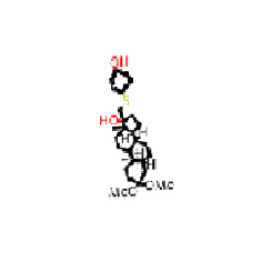 COC1(OC)CC[C@@]2(C)[C@@H](CC[C@@H]3[C@@H]2CC[C@@]2(C)[C@H]3CC[C@@]2(O)CSc2ccc(O)cc2)C1